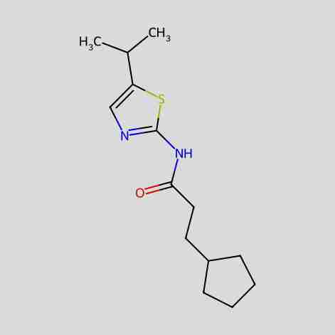 CC(C)c1cnc(NC(=O)CCC2CCCC2)s1